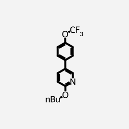 CCCCOc1ccc(-c2ccc(OC(F)(F)F)cc2)cn1